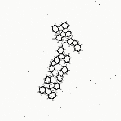 c1ccc2c(c1)-c1ccccc1C21c2ccccc2-c2c(N(c3ccc4oc5ccccc5c4c3)c3ccc4c(c3)c3ccccc3c3cc5c(cc43)sc3ccc(N(c4cccc6c4-c4ccccc4C64c6ccccc6-c6ccccc64)c4cccc6c4oc4ccccc46)cc35)cccc21